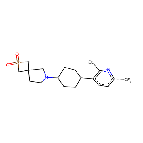 CCc1nc(C(F)(F)F)ccc1C1CCC(N2CCC3(C2)CS(=O)(=O)C3)CC1